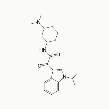 CC(C)n1cc(C(=O)C(=O)NC2CCCC(N(C)C)C2)c2ccccc21